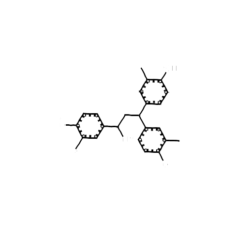 CCCC(CC(c1ccc(O)c(C)c1)c1ccc(O)c(C)c1)c1ccc(O)c(C)c1